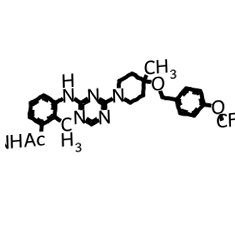 CC(=O)Nc1cccc(Nc2ncnc(N3CCC(C)(OCc4ccc(OC(F)(F)F)cc4)CC3)n2)c1C